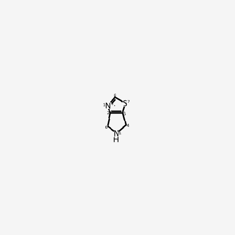 C1=[N+]C2=C(CNC2)S1